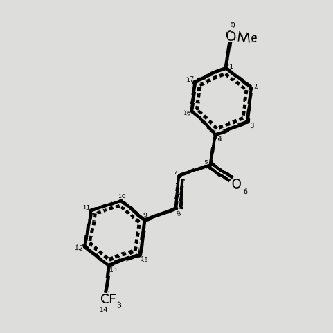 COc1ccc(C(=O)C=Cc2cccc(C(F)(F)F)c2)cc1